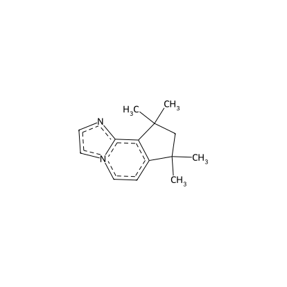 CC1(C)CC(C)(C)c2c1ccn1ccnc21